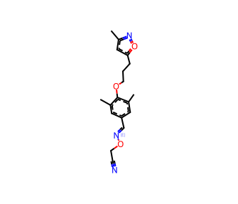 Cc1cc(CCCOc2c(C)cc(/C=N/OCC#N)cc2C)on1